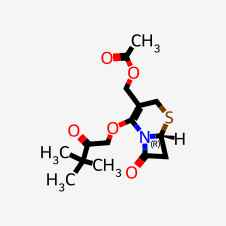 CC(=O)OCC1=C(OCC(=O)C(C)(C)C)N2C(=O)C[C@H]2SC1